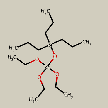 CCC[Si](CCC)(CCC)[O][Zr]([O]CC)([O]CC)[O]CC